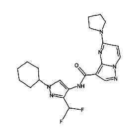 O=C(Nc1cn(C2CCCCC2)nc1C(F)F)c1cnn2ccc(N3CCCC3)nc12